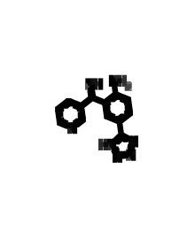 N=C(c1cccnc1)c1cc(-c2nnn[nH]2)ccc1N